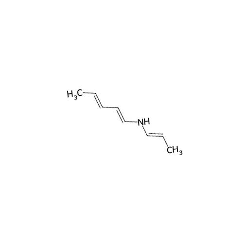 CC=C/C=C/NC=CC